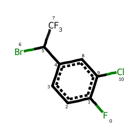 Fc1ccc(C(Br)C(F)(F)F)cc1Cl